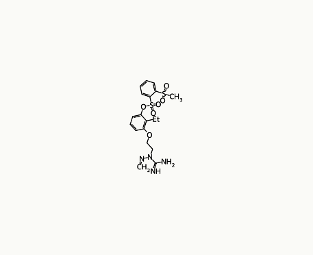 C=NN(CCOc1cccc(OS(=O)(=O)c2ccccc2S(C)(=O)=O)c1CC)C(=N)N